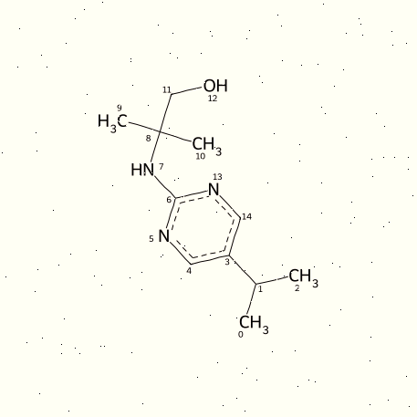 CC(C)c1cnc(NC(C)(C)CO)nc1